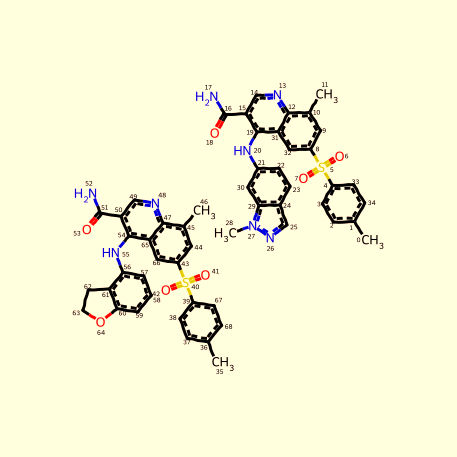 Cc1ccc(S(=O)(=O)c2cc(C)c3ncc(C(N)=O)c(Nc4ccc5cnn(C)c5c4)c3c2)cc1.Cc1ccc(S(=O)(=O)c2cc(C)c3ncc(C(N)=O)c(Nc4cccc5c4CCO5)c3c2)cc1